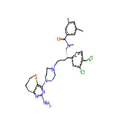 Cc1cc(C)cc(C(=O)N(C)C[C@@H](CCN2CCN(c3nc(N)nc4c3SCCC4)CC2)c2ccc(Cl)c(Cl)c2)c1